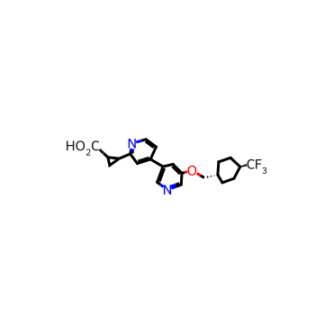 O=C(O)C1CC1c1cc(-c2cncc(OC[C@H]3CC[C@H](C(F)(F)F)CC3)c2)ccn1